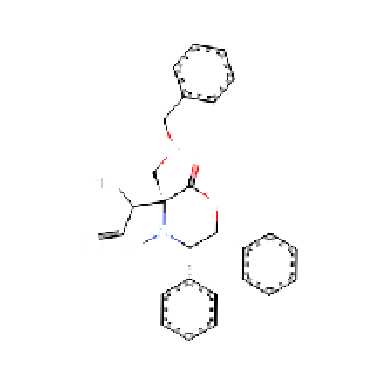 C=CC(C(C)(C)C)[C@]1(COCc2ccccc2)C(=O)O[C@H](c2ccccc2)[C@H](c2ccccc2)N1C(=O)O